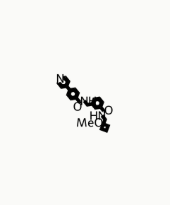 COC1(CNC(=O)c2cccc(CNC(=O)c3ccc(-c4ccncc4)cc3)c2)CCC1